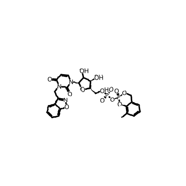 Cc1cccc2c1OP(=O)(OP(=O)(O)OC[C@H]1O[C@@H](n3ccc(=O)n(Cc4noc5ccccc45)c3=O)C(O)[C@H]1O)OC2